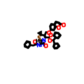 O=C(Cc1ccccc1)N[C@@H]1C(=O)N2C(C(=O)OC(c3ccccc3)c3ccccc3)=C(COc3ccc4ccc(=O)oc4c3)C3(CC3)S[C@H]12